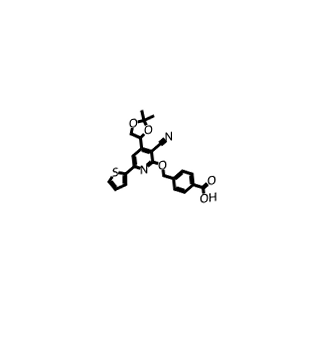 CC1(C)OCC(c2cc(-c3cccs3)nc(OCc3ccc(C(=O)O)cc3)c2C#N)O1